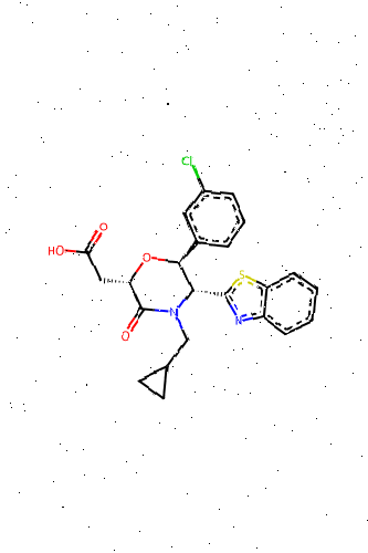 O=C(O)C[C@@H]1O[C@@H](c2cccc(Cl)c2)[C@H](c2nc3ccccc3s2)N(CC2CC2)C1=O